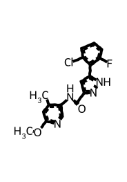 COc1cc(C)c(NC(=O)c2cc(-c3c(F)cccc3Cl)[nH]n2)cn1